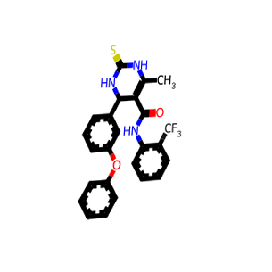 CC1=C(C(=O)Nc2ccccc2C(F)(F)F)C(c2cccc(Oc3ccccc3)c2)NC(=S)N1